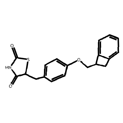 O=C1NC(=O)C(Cc2ccc(OCC3Cc4ccccc43)cc2)S1